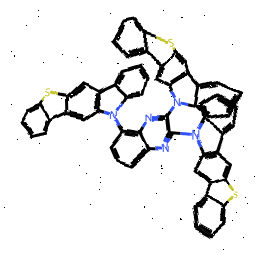 c1cc(-n2c3ccccc3c3cc4sc5ccccc5c4cc32)c2nc(-n3c4ccccc4c4cc5sc6ccccc6c5cc43)c(-n3c4ccccc4c4cc5sc6ccccc6c5cc43)nc2c1